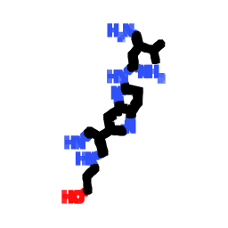 CC(C)C(=C/N)/C=C(\N)Nc1ccc2ncc(/C(C=N)=C/NCCCO)cc2n1